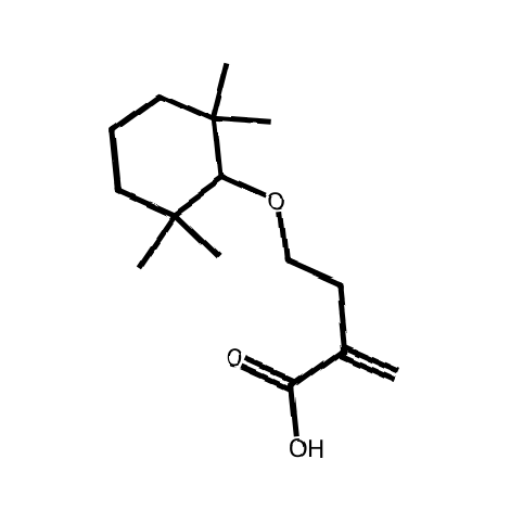 C=C(CCOC1C(C)(C)CCCC1(C)C)C(=O)O